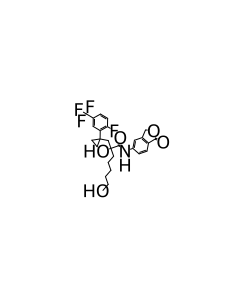 O=C1OCc2cc(NC(=O)C(O)(CCCCCO)CC3(c4cc(C(F)(F)F)ccc4F)CC3)ccc21